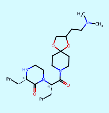 CC(C)C[C@@H]1NCCN([C@@H](CC(C)C)C(=O)N2CCC3(CC2)OCC(CCN(C)C)O3)C1=O